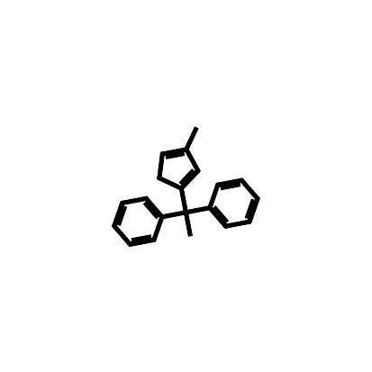 CC1=CCC(C(C)(c2ccccc2)c2ccccc2)=C1